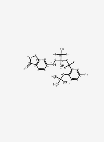 BC(B)(B)Oc1ccc(F)cc1C(C)(C)CC(O)(CNc1ccc2c(c1)COC2=O)C(F)(F)F